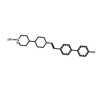 CCC[SiH]1CCC(C2CCC(C=Cc3ccc(-c4ccc(F)cc4)cc3)CC2)CC1